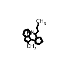 CCCCC(=N)c1ccccc1C1C(C)=Cc2ccccc21